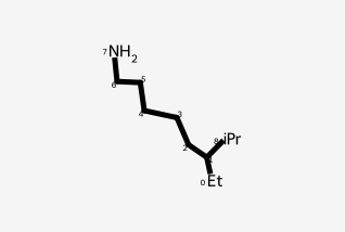 CCC(CCCCCN)C(C)C